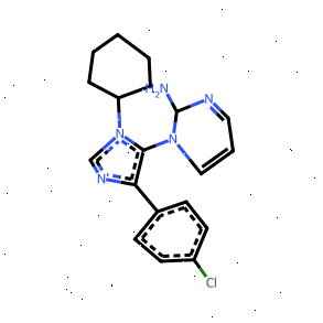 NC1N=CC=CN1c1c(-c2ccc(Cl)cc2)ncn1C1CCCCC1